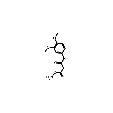 COc1ccc(NC(=O)CC(=O)ON)cc1OC